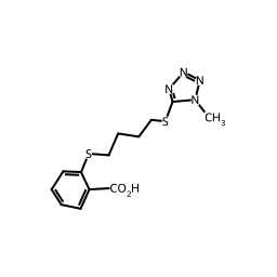 Cn1nnnc1SCCCCSc1ccccc1C(=O)O